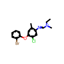 CCN(C)C=Nc1cc(Cl)c(Oc2ccccc2Br)cc1C